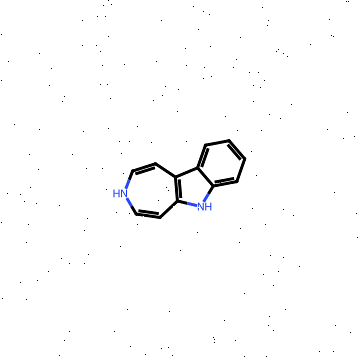 C1=Cc2[nH]c3ccccc3c2C=CN1